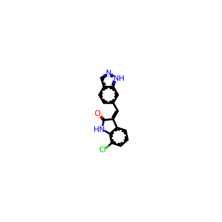 O=C1Nc2c(Cl)cccc2C1=Cc1ccc2cn[nH]c2c1